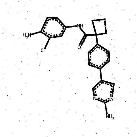 Nc1ncc(-c2ccc(C3(C(=O)Nc4ccc(N)c(Cl)c4)CCC3)cc2)cn1